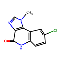 Cn1cnc2c(=O)[nH]c3ccc(Cl)cc3c21